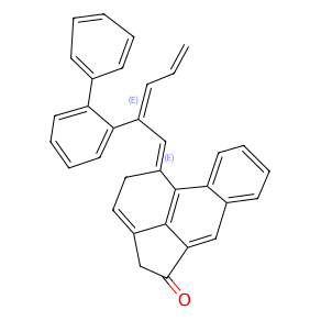 C=C/C=C(\C=C1/CC=C2CC(=O)c3cc4ccccc4c1c32)c1ccccc1-c1ccccc1